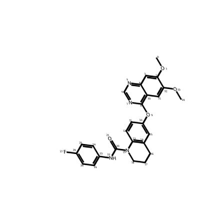 COc1cc2ncnc(Oc3ccc4c(c3)CCCN4C(=O)Nc3ccc(F)cc3)c2cc1OC